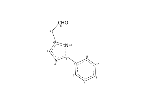 O=CCc1csc(-c2ccccc2)n1